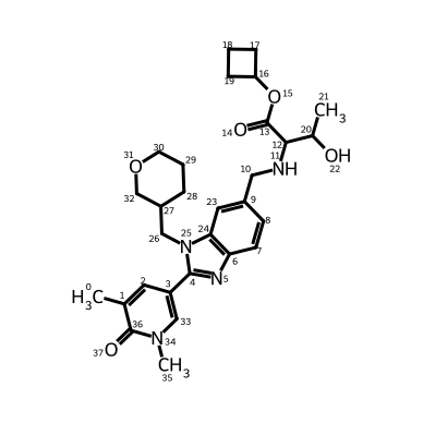 Cc1cc(-c2nc3ccc(CNC(C(=O)OC4CCC4)C(C)O)cc3n2CC2CCCOC2)cn(C)c1=O